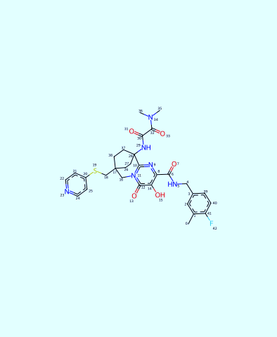 Cc1cc(CNC(=O)c2nc3n(c(=O)c2O)CC2(CSc4ccncc4)CCC3(NC(=O)C(=O)N(C)C)CC2)ccc1F